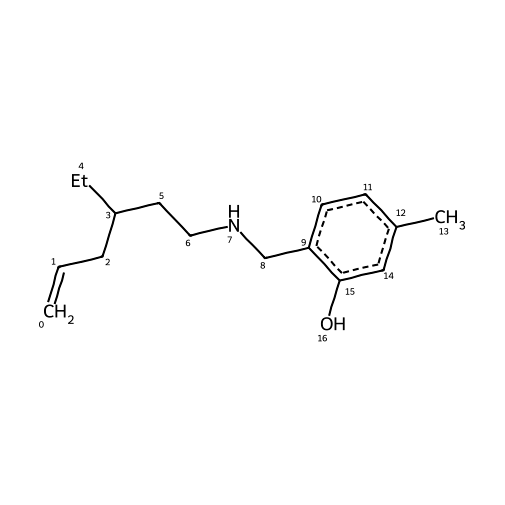 C=CCC(CC)CCNCc1ccc(C)cc1O